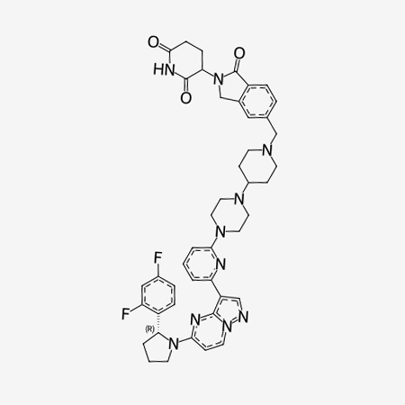 O=C1CCC(N2Cc3cc(CN4CCC(N5CCN(c6cccc(-c7cnn8ccc(N9CCC[C@@H]9c9ccc(F)cc9F)nc78)n6)CC5)CC4)ccc3C2=O)C(=O)N1